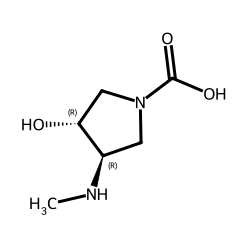 CN[C@@H]1CN(C(=O)O)C[C@H]1O